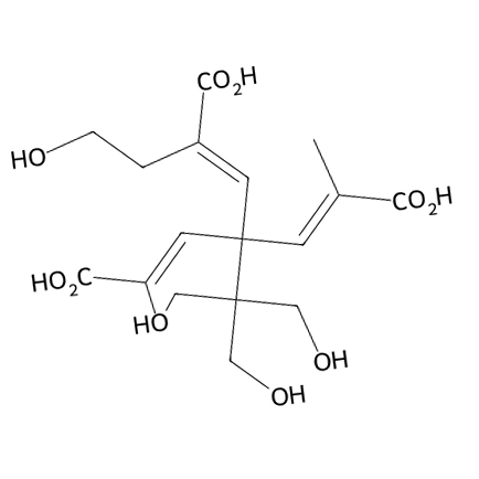 CC(=CC(C=C(C)C(=O)O)(C=C(CCO)C(=O)O)C(CO)(CO)CO)C(=O)O